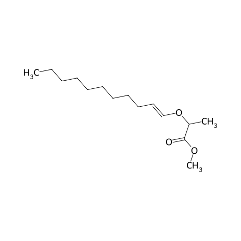 CCCCCCCCCC=COC(C)C(=O)OC